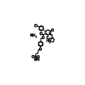 CC1=C(C(=O)OCc2ccc(OCCCS(=O)(=O)O)cc2)[C@H](c2ccc(Cl)cc2)CC(=O)N1C[C@H]1CCCO1.N